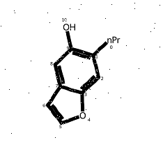 CCCc1cc2occc2cc1O